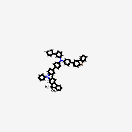 CC1(C)c2ccccc2-c2cc3c4cc(-c5ccc(N(c6ccc(-c7ccc8sc9ccccc9c8c7)cc6)c6cccc(-c7ccccc7)c6)cc5)ccc4n(-c4ccccc4)c3cc21